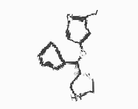 Fc1cc(O[C@H](c2ccccc2)[C@@H]2CCNC2)ccn1